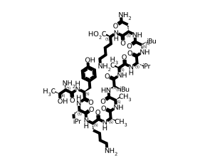 CC[C@H](C)[C@H](NC(=O)[C@H](C)NC(=O)[C@H](C)NC(=O)[C@H](CCCCN)NC(=O)[C@H](CC(C)C)NC(=O)[C@H](Cc1ccc(O)cc1)NC(=O)[C@@H](N)[C@@H](C)O)C(=O)N[C@@H](C)C(=O)N[C@H](C(=O)N[C@H](C(=O)N[C@@H](CC(N)=O)C(=O)N[C@@H](CCCCN)C(=O)O)[C@@H](C)CC)C(C)C